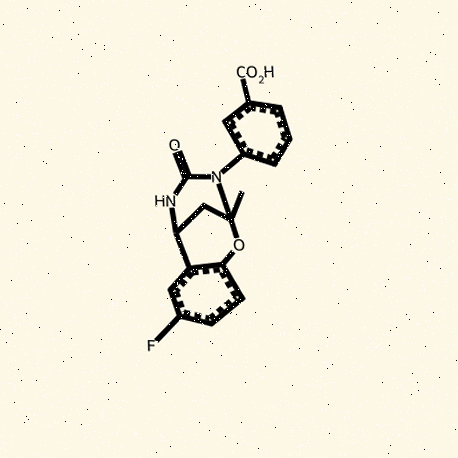 CC12CC(NC(=O)N1c1cccc(C(=O)O)c1)c1cc(F)ccc1O2